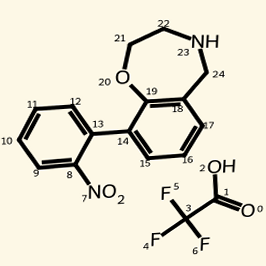 O=C(O)C(F)(F)F.O=[N+]([O-])c1ccccc1-c1cccc2c1OCCNC2